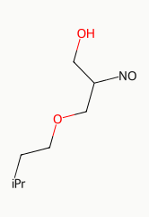 CC(C)CCOCC(CO)N=O